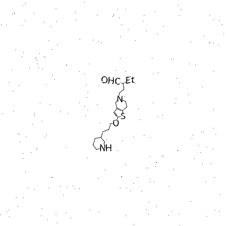 CCC(C=O)CCN1CCc2sc(OCCCC3CCCNC3)cc2C1